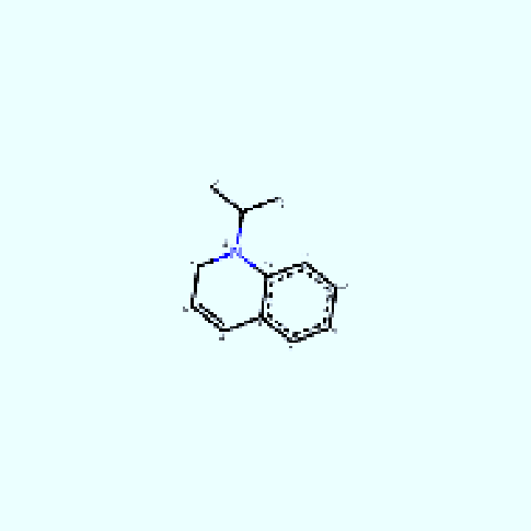 CC(C)N1CC=Cc2ccccc21